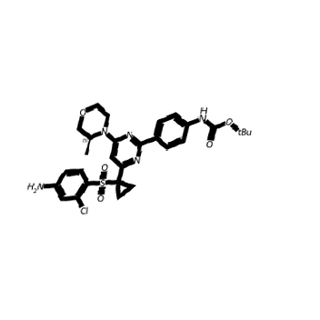 C[C@H]1COCCN1c1cc(C2(S(=O)(=O)c3ccc(N)cc3Cl)CC2)nc(-c2ccc(NC(=O)OC(C)(C)C)cc2)n1